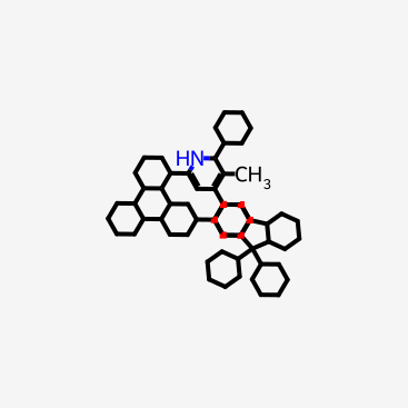 CC1=C(C2CCCCC2)C=C(C2CCCC3C4CCCCC4C4CCC(C5CCC6C7CCCCC7C(C7CCCCC7)(C7CCCCC7)C6C5)CC4C23)NC1C1CCCCC1